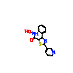 O=C(NO)C1SC(c2cccnc2)=NC1c1ccccc1